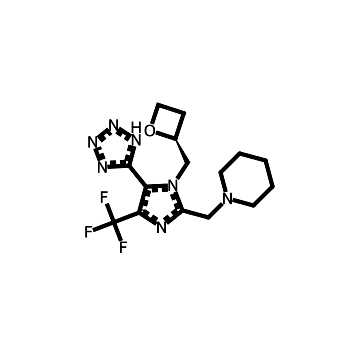 FC(F)(F)c1nc(CN2CCCCC2)n(C[C@@H]2CCO2)c1-c1nnn[nH]1